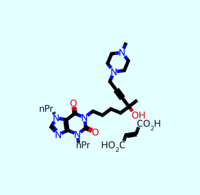 CCCn1cnc2c1c(=O)n(CCCCC(C)(O)C#CCN1CCN(C)CC1)c(=O)n2CCC.O=C(O)C=CC(=O)O